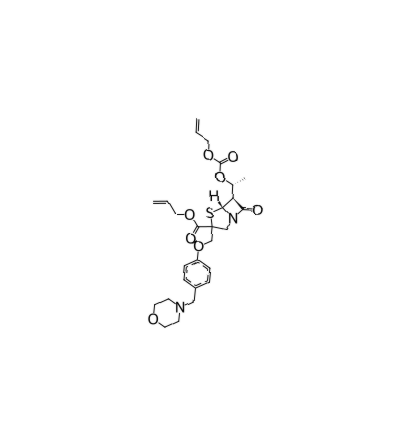 C=CCOC(=O)O[C@H](C)[C@H]1C(=O)N2CC(COc3ccc(CN4CCOCC4)cc3)(C(=O)OCC=C)S[C@H]12